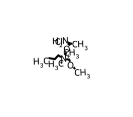 CC(N)=O.CCCC[N+](C)(C)COCC.[Cl-]